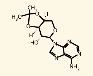 CC1(C)O[C@@H]2[C@@H](O)[C@H](n3cnc4c(N)ncnc43)OC[C@@H]2O1